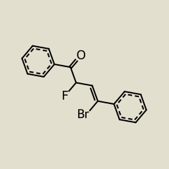 O=C(c1ccccc1)C(F)C=C(Br)c1ccccc1